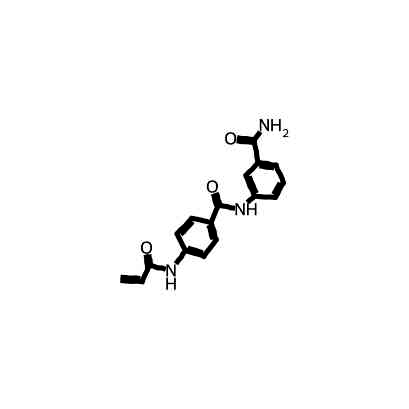 C=CC(=O)Nc1ccc(C(=O)Nc2cccc(C(N)=O)c2)cc1